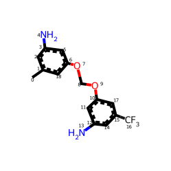 Cc1cc(N)cc(OCOc2cc(N)cc(C(F)(F)F)c2)c1